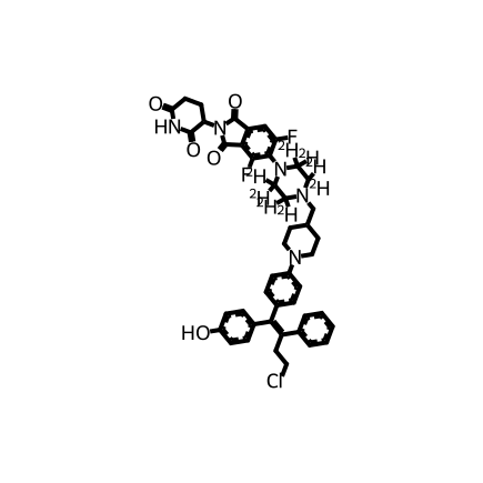 [2H]C1([2H])N(CC2CCN(c3ccc(C(=C(CCCl)c4ccccc4)c4ccc(O)cc4)cc3)CC2)C([2H])([2H])C([2H])([2H])N(c2c(F)cc3c(c2F)C(=O)N(C2CCC(=O)NC2=O)C3=O)C1([2H])[2H]